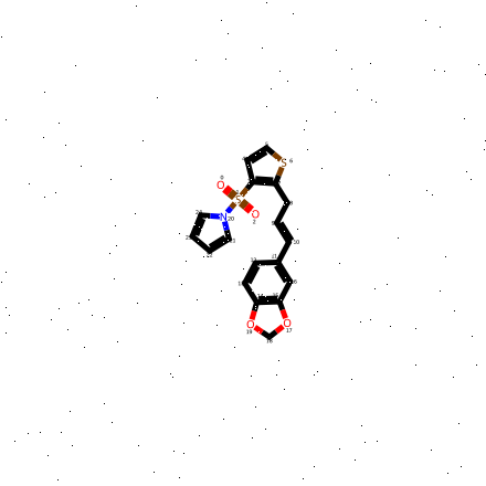 O=S(=O)(c1ccsc1C/C=C/c1ccc2c(c1)OCO2)n1cccc1